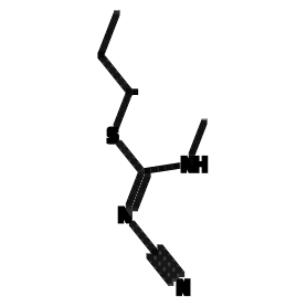 CC[CH]S/C(=N/C#N)NC